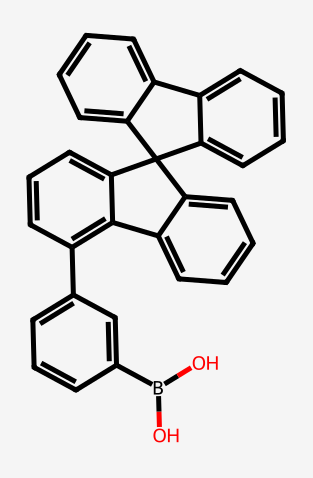 OB(O)c1cccc(-c2cccc3c2-c2ccccc2C32c3ccccc3-c3ccccc32)c1